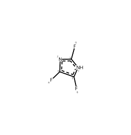 Fc1nc(F)c(F)[nH]1